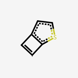 [C]1=Cc2ccsc21